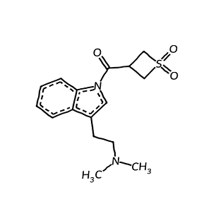 CN(C)CCc1cn(C(=O)C2CS(=O)(=O)C2)c2ccccc12